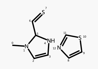 CN1C=CNC1C=S.c1cscn1